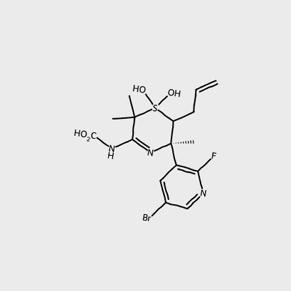 C=CCC1[C@@](C)(c2cc(Br)cnc2F)N=C(NC(=O)O)C(C)(C)S1(O)O